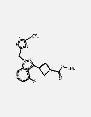 CC(C)(C)OC(=O)N1CC(c2nn(Cc3nnc(C(F)(F)F)o3)c3cccc(F)c23)C1